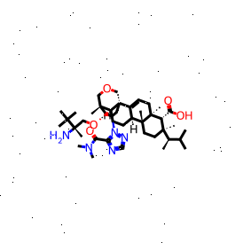 CC(C)[C@@H](C)[C@@]1(C)CC[C@]2(C)[C@H]3CC[C@@H]4[C@@]5(COC[C@@]4(C)[C@@H](OC[C@](C)(N)C(C)(C)C)[C@H](n4ncnc4C(=O)N(C)C)C5)C3=CC[C@@]2(C)[C@@H]1C(=O)O